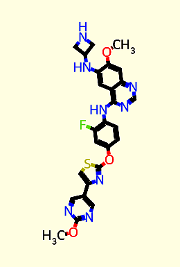 COc1ncc(-c2csc(Oc3ccc(Nc4ncnc5cc(OC)c(NC6CNC6)cc45)c(F)c3)n2)cn1